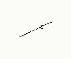 CCCCCCCCCCCCCCCCCCCCCCSCCCCCCCCC